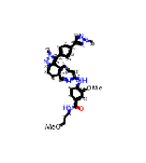 COCCCNC(=O)c1ccc(NC2=C/C=C/C3=C(/C=N\2)CCc2nn(C)c(-c4ccc(-c5cnn(C)c5)cc4)c23)c(OC)c1